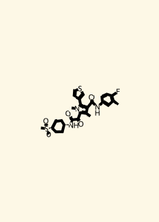 Cc1cc(NC(=O)c2c(C)c(C(=O)C(=O)N[C@H]3CC[C@@H](S(C)(=O)=O)CC3)n(C)c2-c2ccsc2)ccc1F